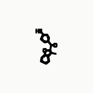 Cc1c(C(=O)c2ccc(S)cc2)oc2ccccc12